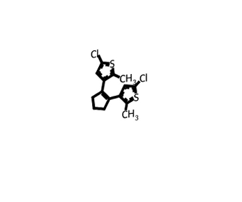 Cc1sc(Cl)cc1C1=C(c2cc(Cl)sc2C)CCC1